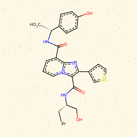 CC(C)C[C@@H](CO)NC(=O)c1c(-c2ccsc2)nc2c(C(=O)N[C@H](C(=O)O)c3ccc(O)cc3)cccn12